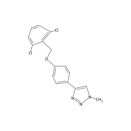 Cn1cc(-c2ccc(OCc3c(Cl)cccc3Cl)cc2)nn1